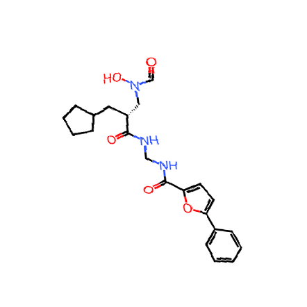 O=CN(O)C[C@@H](CC1CCCC1)C(=O)NCNC(=O)c1ccc(-c2ccccc2)o1